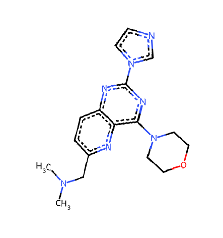 CN(C)Cc1ccc2nc(-n3ccnc3)nc(N3CCOCC3)c2n1